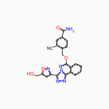 N#Cc1cc(C(N)=O)ccc1COc1nn2c(-c3cc(CO)on3)nnc2c2ccccc12